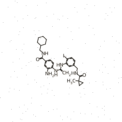 C=C(Nc1ccc(C(=O)NCC2CCCCC2)cc1N)Nc1cc(CNC(=O)C2(C)CC2)ccc1I